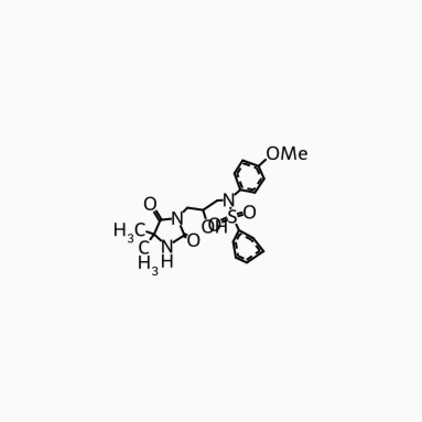 COc1ccc(N(CC(O)CN2C(=O)NC(C)(C)C2=O)S(=O)(=O)c2ccccc2)cc1